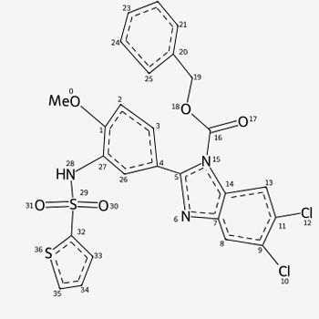 COc1ccc(-c2nc3cc(Cl)c(Cl)cc3n2C(=O)OCc2ccccc2)cc1NS(=O)(=O)c1cccs1